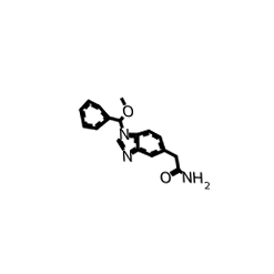 COC(c1ccccc1)n1cnc2cc(CC(N)=O)ccc21